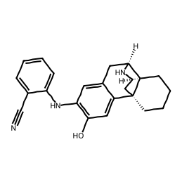 N#Cc1ccccc1Nc1cc2c(cc1O)[C@]13CCCC[C@@H]1[C@H](C2)NCC3